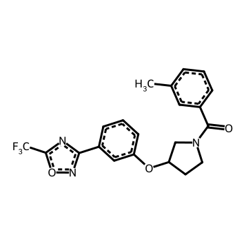 Cc1cccc(C(=O)N2CCC(Oc3cccc(-c4noc(C(F)(F)F)n4)c3)C2)c1